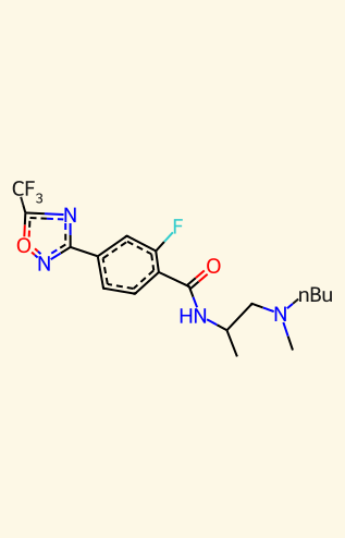 CCCCN(C)CC(C)NC(=O)c1ccc(-c2noc(C(F)(F)F)n2)cc1F